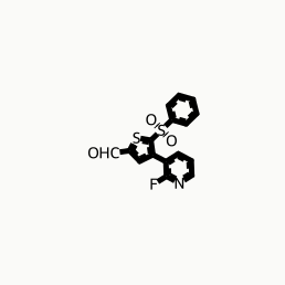 O=Cc1cc(-c2cccnc2F)c(S(=O)(=O)c2ccccc2)s1